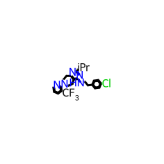 CC(C)c1nc2c(c(NCCc3ccc(Cl)cc3)n1)CCN(c1ncccc1C(F)(F)F)CC2